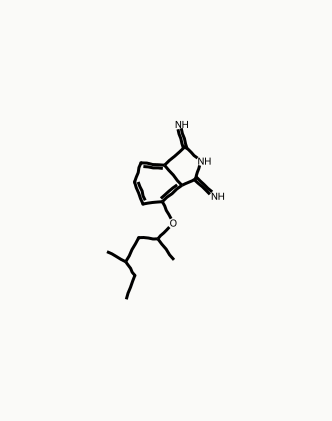 CCC(C)CC(C)Oc1cccc2c1C(=N)NC2=N